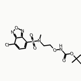 CN(CCONC(=O)OC(C)(C)C)S(=O)(=O)c1ccc(Cl)c2nonc12